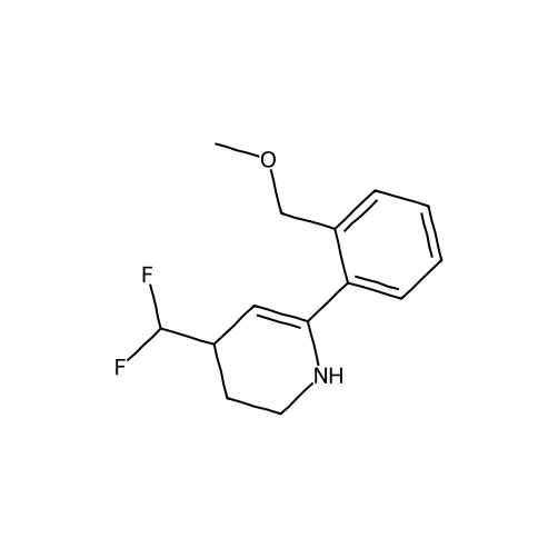 COCc1ccccc1C1=CC(C(F)F)CCN1